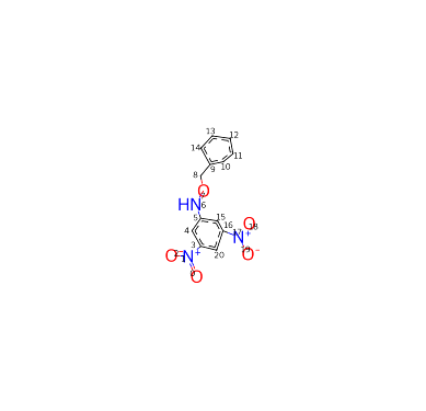 O=[N+]([O-])c1cc(NOCc2ccccc2)cc([N+](=O)[O-])c1